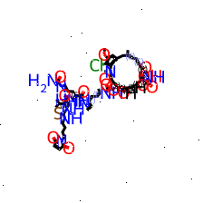 C=C/C(=C\C=C(/C)NC(=O)O[C@H]1CC(=O)N(C)c2cc(cc(OC)c2Cl)C/C(C)=C/C=C/[C@@H](OC)[C@@]2(O)C[C@H](OC(=O)N2)[C@@H](C)[C@@H]2O[C@@]12C)NC(=O)[C@H](CCCNC(N)=O)NC(=O)[C@@H](NC(=S)NCCCCN1C(=O)C=CC1=O)C(C)C